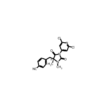 CN1C(=O)N(c2cc(Cl)nc(Cl)c2)C(=O)[C@@]1(C)Cc1ccc(C#N)cc1